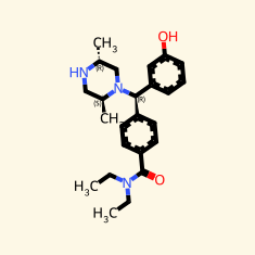 CCN(CC)C(=O)c1ccc([C@H](c2cccc(O)c2)N2C[C@@H](C)NC[C@@H]2C)cc1